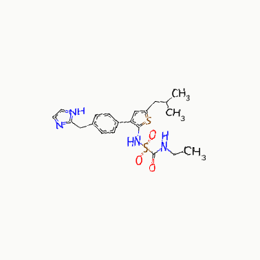 CCNC(=O)S(=O)(=O)Nc1sc(CC(C)C)cc1-c1ccc(Cc2ncc[nH]2)cc1